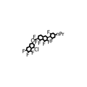 CCCc1cc(F)c(-c2cc3ccc(C(F)(F)Oc4cc(Cl)c5c(F)c(F)c(F)cc5c4)c(F)c3c(F)c2F)c(F)c1